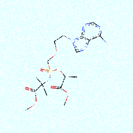 CCCCCOC(=O)[C@H](C)OP(=O)(CO[C@H](C)Cn1cnc2c(N)ncnc21)NC(C)(C)C(=O)OC(C)C